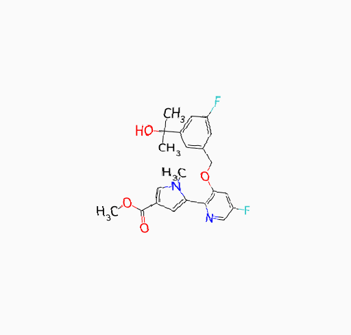 COC(=O)c1cc(-c2ncc(F)cc2OCc2cc(F)cc(C(C)(C)O)c2)n(C)c1